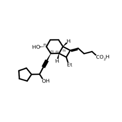 CCC1C(=CCCC(=O)O)[C@H]2CC[C@@H](O)[C@H](C#CC(O)C3CCCC3)[C@@H]12